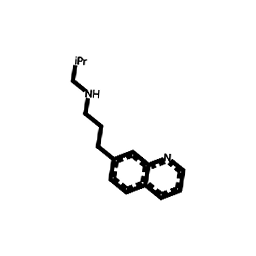 CC(C)CNCCCc1ccc2cccnc2c1